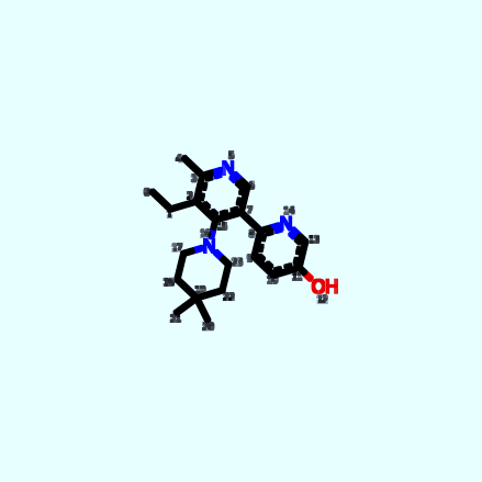 CCc1c(C)ncc(-c2ccc(O)cn2)c1N1CCC(C)(C)CC1